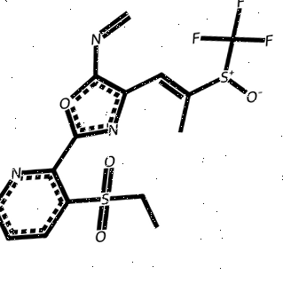 C=Nc1oc(-c2ncccc2S(=O)(=O)CC)nc1/C=C(\C)[S+]([O-])C(F)(F)F